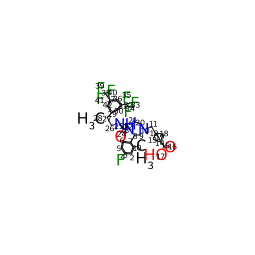 Cc1cc(F)ccc1C1CN(CC23CC(C(=O)O)(C2)C3)CCN1C(=O)NC[C@H](C)c1cc(C(F)(F)F)cc(C(F)(F)F)c1